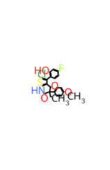 CCC1(c2ccc(OC)cc2)C(=O)Nc2sc(Cl)c(-c3ccc(F)cc3O)c2C1=O